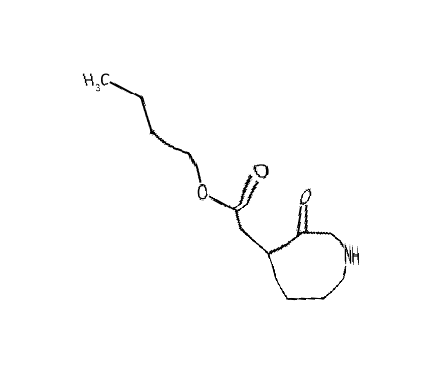 CCCCOC(=O)CC1CCNC1=O